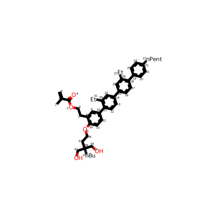 C=C(C)C(=O)OCCc1cc(-c2ccc(-c3ccc(-c4ccc(CCCCC)cc4)c(CC)c3)cc2CC)ccc1OCCC(CO)(CO)CCCC